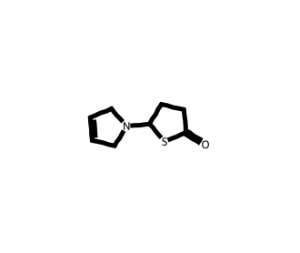 O=C1CCC(N2CC=CC2)S1